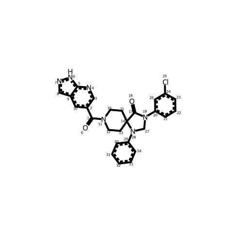 O=C(c1cnc2[nH]ncc2c1)N1CCC2(CC1)C(=O)N(c1cccc(Cl)c1)CN2c1ccccc1